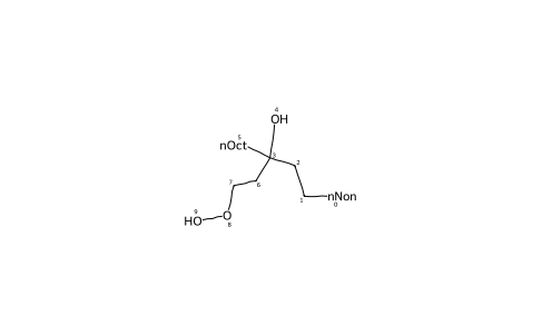 CCCCCCCCCCCC(O)(CCCCCCCC)CCOO